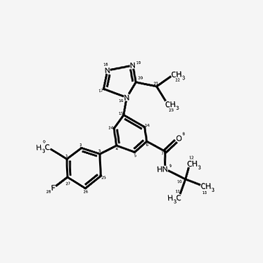 Cc1cc(-c2cc(C(=O)NC(C)(C)C)cc(-n3cnnc3C(C)C)c2)ccc1F